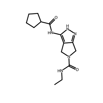 CCNC(=O)N1Cc2n[nH]c(NC(=O)C3CCCC3)c2C1